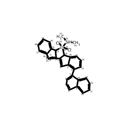 CC1=Cc2c(-c3cccc4ccccc34)cccc2[CH]1[Zr]([Cl])([Cl])([CH]1C=Cc2ccccc21)[SiH](C)C